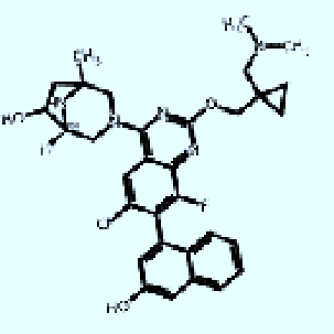 CN(C)CC1(COc2nc(N3C[C@H]4NC(C)(CC4O)C3)c3cc(Cl)c(-c4cc(O)cc5ccccc45)c(F)c3n2)CC1